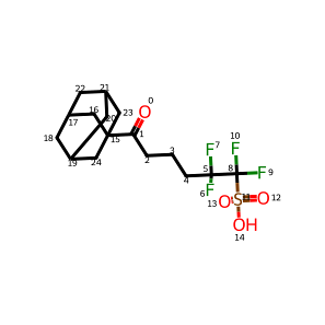 O=C(CCCC(F)(F)C(F)(F)S(=O)(=O)O)C12CC3CC(CC(C3)C1)C2